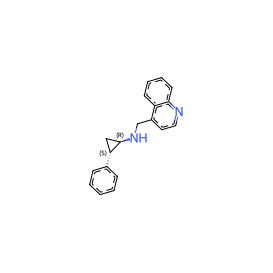 c1ccc([C@@H]2C[C@H]2NCc2ccnc3ccccc23)cc1